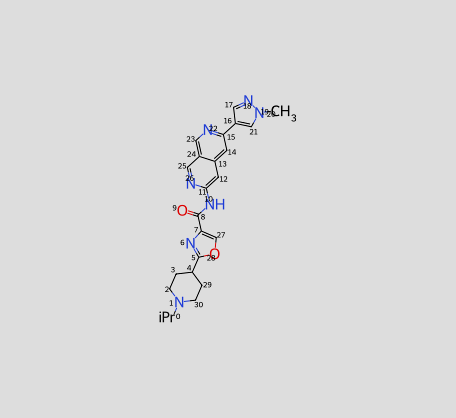 CC(C)N1CCC(c2nc(C(=O)Nc3cc4cc(-c5cnn(C)c5)ncc4cn3)co2)CC1